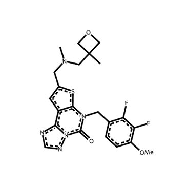 COc1ccc(Cn2c(=O)n3ncnc3c3cc(CN(C)CC4(C)COC4)sc32)c(F)c1F